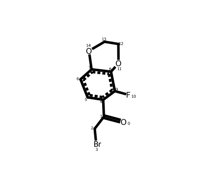 O=C(CBr)c1ccc2c(c1F)OCCO2